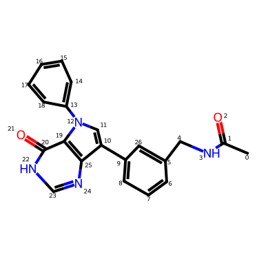 CC(=O)NCc1cccc(-c2cn(-c3ccccc3)c3c(=O)[nH]cnc23)c1